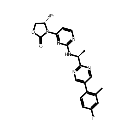 Cc1cc(F)ccc1-c1cnc([C@H](C)Nc2nccc(N3C(=O)OC[C@@H]3C(C)C)n2)nc1